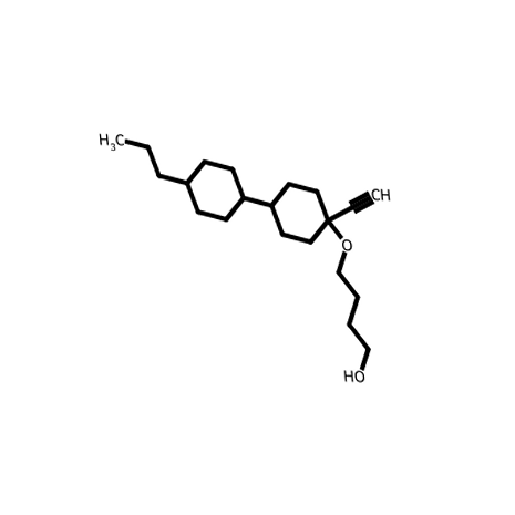 C#CC1(OCCCCO)CCC(C2CCC(CCC)CC2)CC1